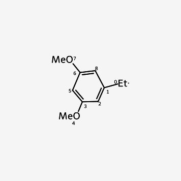 C[CH]c1cc(OC)cc(OC)c1